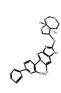 COc1nc(-c2ccccc2)ccc1-c1nc2nc(OC3CO[C@@H]4CCOCC[C@@H]34)[nH]c2cc1Cl